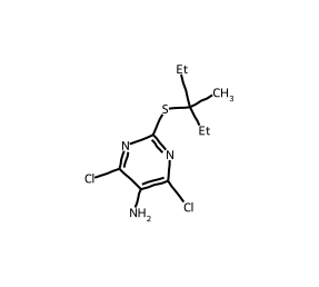 CCC(C)(CC)Sc1nc(Cl)c(N)c(Cl)n1